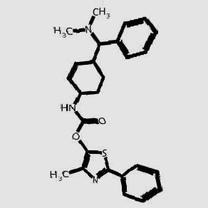 Cc1nc(-c2ccccc2)sc1OC(=O)NC1CCC(C(c2ccccc2)N(C)C)CC1